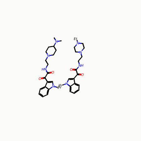 CC(C)n1cc(C(=O)C(=O)NCCN2CCC(N(C)C)CC2)c2ccccc21.CCN1CCN(CCNC(=O)C(=O)c2cn(C(C)C)c3ccccc23)CC1